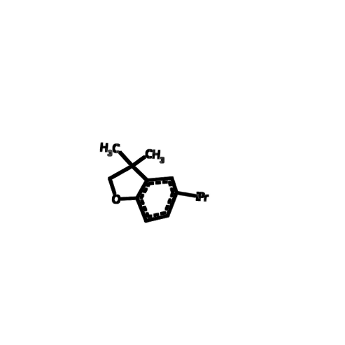 CC(C)c1ccc2c(c1)C(C)(C)CO2